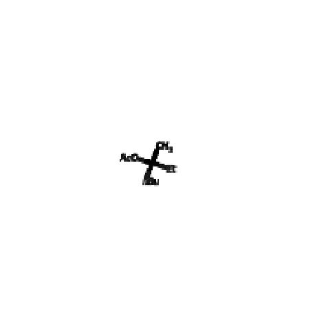 [CH2]C(=O)OC(C)(CC)CCCC